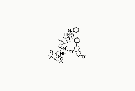 C=C[C@@H]1C[C@]1(NC(=O)[C@@H]1C[C@@H](Oc2cc(-c3ccccc3)nc3cc(OC)ccc23)CN1C(=O)[C@H](CNC(=O)C1(C#N)CC1)NC(=O)OC(C)(C)C)C(=O)NS(=O)(=O)c1ccccc1